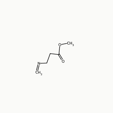 C=NCCC(=O)OC